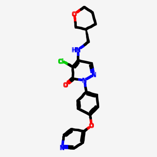 O=c1c(Cl)c(NC[C@@H]2CCCOC2)cnn1-c1ccc(Oc2ccncc2)cc1